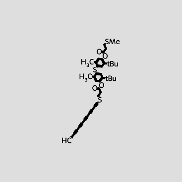 C#CC#CC#CC#CC#CC#CSCCC(=O)Oc1cc(C)c(Sc2cc(C(C)(C)C)c(OC(=O)CCSC)cc2C)cc1C(C)(C)C